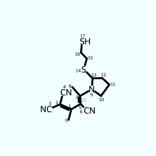 CC(=C(C#N)C#N)/C(C#N)=C(\C)N1CCCC1SCCS